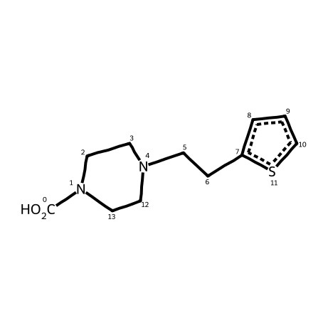 O=C(O)N1CCN(CCc2cccs2)CC1